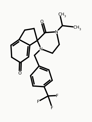 CC(C)N1CCN(Cc2ccc(C(F)(F)F)cc2)C2(CCC3=CCC(=O)C=C32)C1=O